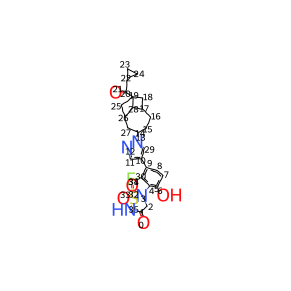 O=C1CN(c2c(O)ccc(-c3cnn(C4CCC5CC6(C(=O)C7CC7)CC(C4)C56)c3)c2F)S(=O)(=O)N1